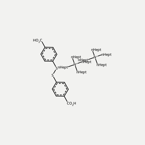 CCCCCCC[N+](CCCCCCC)(CCCCCCC)CCCCCCC.CCCCCCC[N+](CCCCCCC)(CCCCCCC)CCCCCCC.O=C(O)c1ccc(SSc2ccc(C(=O)O)cc2)cc1